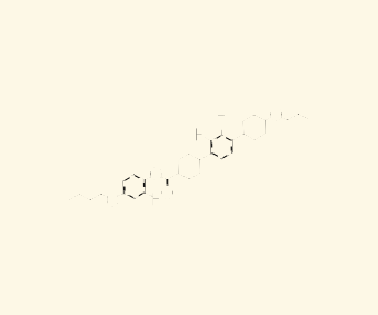 CCCCOc1ccc(OC(=O)C2CCC(c3ccc(C4CCC(OCCC)CC4)c(F)c3F)CC2)c(F)c1